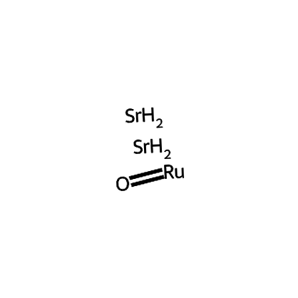 [O]=[Ru].[SrH2].[SrH2]